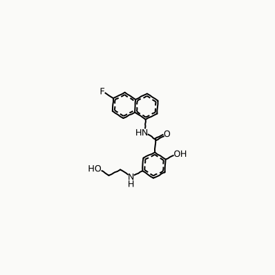 O=C(Nc1cccc2cc(F)ccc12)c1cc(NCCO)ccc1O